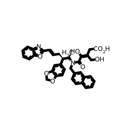 C[C@H]([C@H](C/C=C/c1nc2ccccc2o1)c1ccc2c(c1)OCO2)N(Cc1ccc2ccccc2c1)C(=O)C(O)=C(CO)CC(=O)O